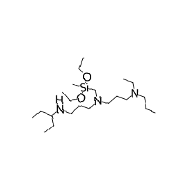 CCCN(CC)CCCN(CCCNC(CC)CC)C[Si](C)(OCC)OCC